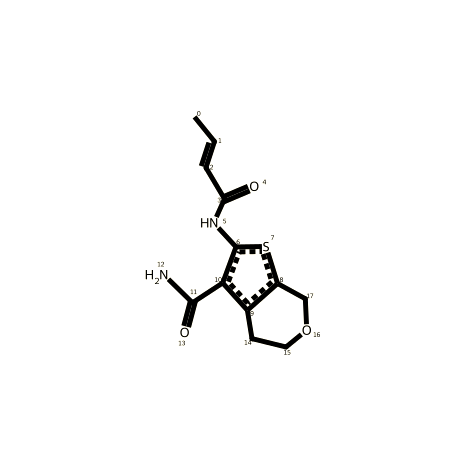 CC=CC(=O)Nc1sc2c(c1C(N)=O)CCOC2